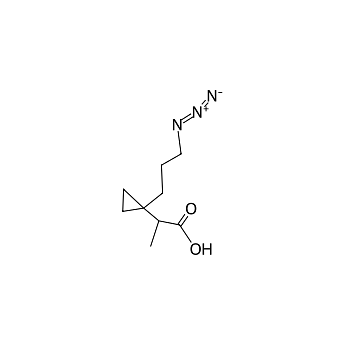 CC(C(=O)O)C1(CCCN=[N+]=[N-])CC1